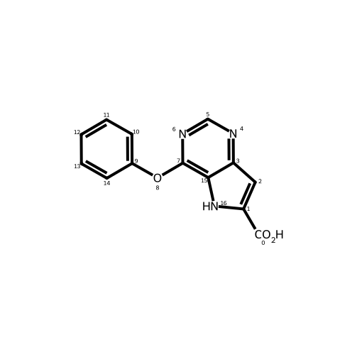 O=C(O)c1cc2ncnc(Oc3ccccc3)c2[nH]1